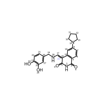 O=C1NC(=O)c2ccc(N3CCCC3)cc2/C1=C/NCc1ccc(O)c(O)c1